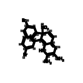 NC1=C(N)NC2=C(c3cccc(Br)c3)C(c3cccc(Br)c3)([N+](=O)[O-])C=CC2=N1